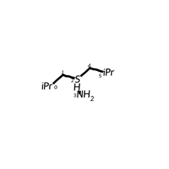 CC(C)C[SH](N)CC(C)C